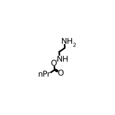 CCCC(=O)ONCCN